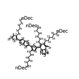 CCCCCCCCCCCCCCCCc1cc(C)sc1-c1cc2sc(-c3sc(-c4c(CCCCCCCCCCCCCCCC)c(CCCCCCCCCCCCCCCC)c(C)c5nsnc45)cc3CCCCCCCCCCCCCCCC)cc2s1